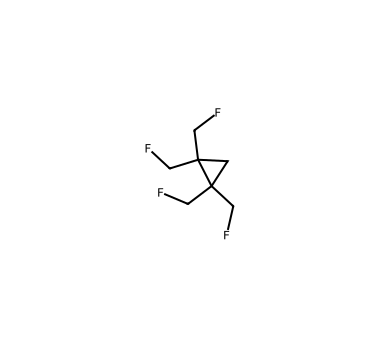 FCC1(CF)CC1(CF)CF